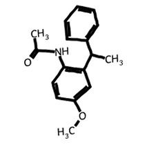 COc1ccc(NC(C)=O)c(C(C)c2ccccc2)c1